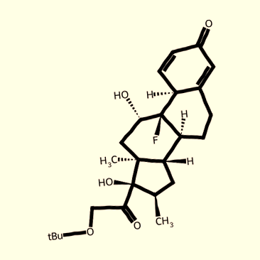 C[C@@H]1C[C@H]2[C@@H]3CCC4=CC(=O)C=C[C@@H]4[C@@]3(F)[C@@H](O)C[C@]2(C)[C@@]1(O)C(=O)COC(C)(C)C